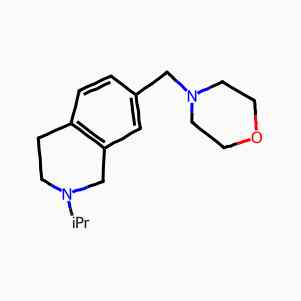 CC(C)N1CCc2ccc(CN3CCOCC3)cc2C1